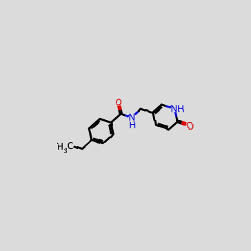 CCc1ccc(C(=O)NCc2ccc(=O)[nH]c2)cc1